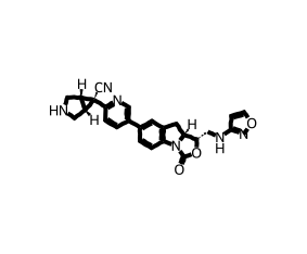 N#C[C@]1(c2ccc(-c3ccc4c(c3)C[C@H]3[C@H](CNc5ccon5)OC(=O)N43)cn2)[C@@H]2CNC[C@@H]21